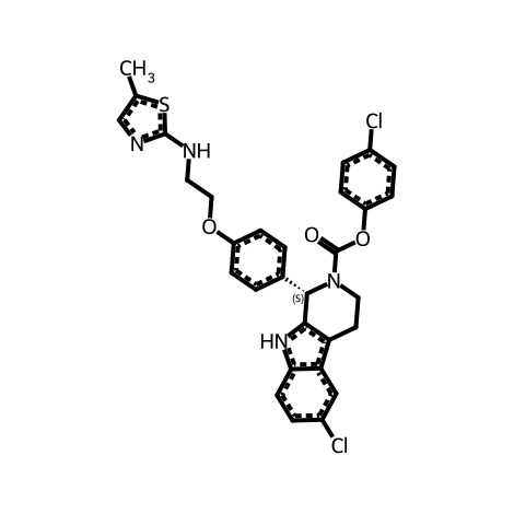 Cc1cnc(NCCOc2ccc([C@H]3c4[nH]c5ccc(Cl)cc5c4CCN3C(=O)Oc3ccc(Cl)cc3)cc2)s1